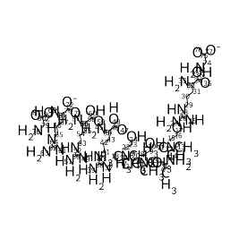 CC(N)=O.C[N+](C)(C)CCO.C[N+](C)(C)CCO.C[N+](C)(C)CCO.N=C(N)NCCC[C@H](N)C(=O)O.N=C(N)NCCC[C@H](N)C(=O)O.N=C(N)NCCC[C@H](N)C(=O)O.N=C(N)NCCC[C@H](N)C(=O)[O-].NCC(=O)[O-].NCC(=O)[O-]